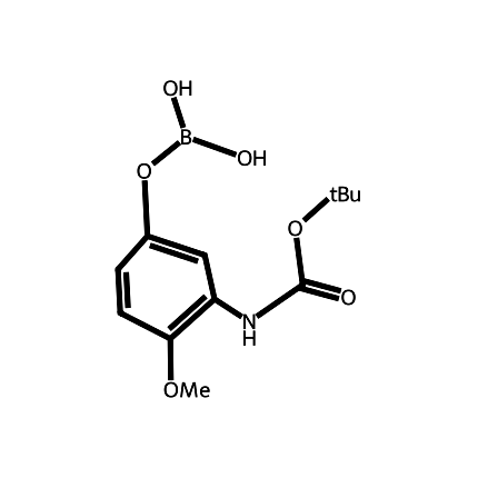 COc1ccc(OB(O)O)cc1NC(=O)OC(C)(C)C